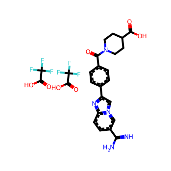 N=C(N)c1ccc2nc(-c3ccc(C(=O)N4CCC(C(=O)O)CC4)cc3)cn2c1.O=C(O)C(F)(F)F.O=C(O)C(F)(F)F